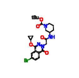 CC(C)(C)OC(=O)N1CCC[C@@H](NC(=O)Cn2nc(OC3CC3)c3cc(Br)ccc3c2=O)C1